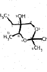 CCC1(O)COC(C)(C)OC1C